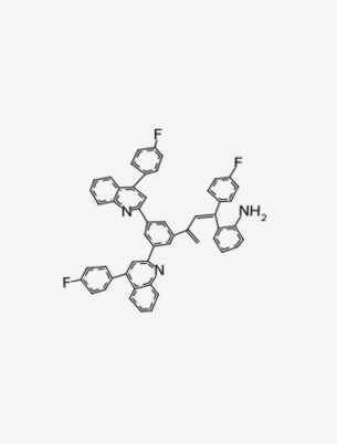 C=C(/C=C(/c1ccc(F)cc1)c1ccccc1N)c1cc(-c2cc(-c3ccc(F)cc3)c3ccccc3n2)cc(-c2cc(-c3ccc(F)cc3)c3ccccc3n2)c1